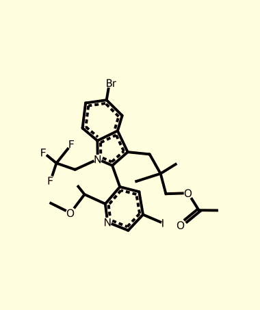 COC(C)c1ncc(I)cc1-c1c(CC(C)(C)COC(C)=O)c2cc(Br)ccc2n1CC(F)(F)F